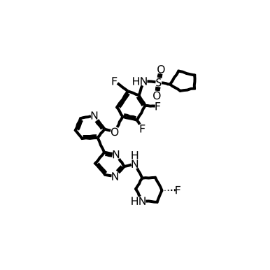 O=S(=O)(Nc1c(F)cc(Oc2ncccc2-c2ccnc(NC3CNC[C@@H](F)C3)n2)c(F)c1F)C1CCCC1